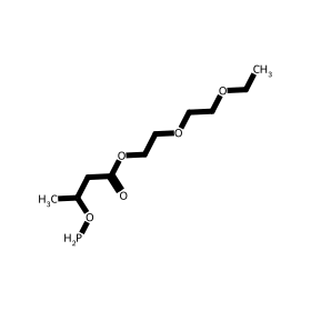 CCOCCOCCOC(=O)CC(C)OP